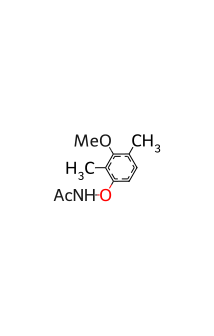 COc1c(C)ccc(ONC(C)=O)c1C